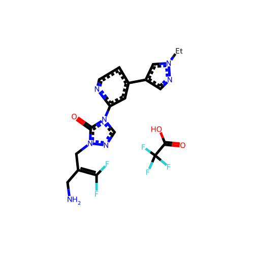 CCn1cc(-c2ccnc(-n3cnn(CC(CN)=C(F)F)c3=O)c2)cn1.O=C(O)C(F)(F)F